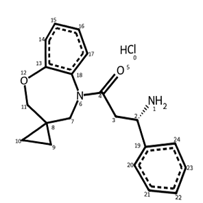 Cl.N[C@@H](CC(=O)N1CC2(CC2)COc2ccccc21)c1ccccc1